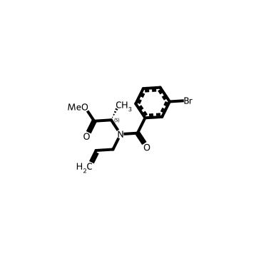 C=CCN(C(=O)c1cccc(Br)c1)[C@@H](C)C(=O)OC